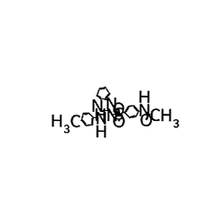 CC(=O)Nc1ccc(S(=O)(=O)Nc2nc3ccccc3nc2Nc2ccc(C)cc2)cc1